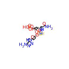 NC(=O)c1cc([C@@H]2C[C@H](COP(=O)(O)O)C2OP(=O)(S)OC[C@@H]2CC[C@H](n3cnc4c(N)ncnc43)O2)[nH]n1